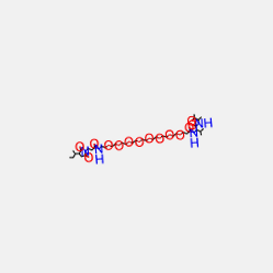 CCC(C)C1CC(=O)N(CCC(=O)NCCOCCOCCOCCOCCOCCOCCOCCOCCC(=O)NC(C(=O)NC(C)C(C)=O)C(C)C)C1=O